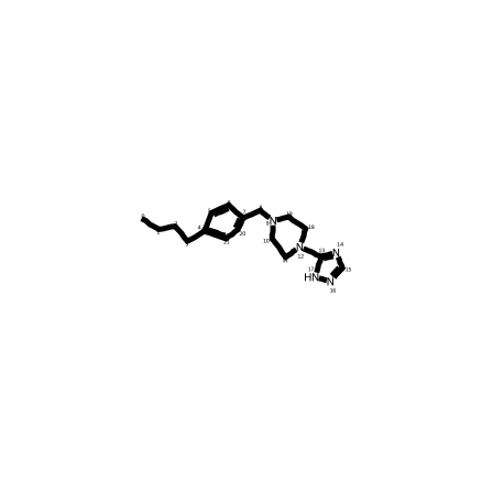 CCCCc1ccc(CN2CCN(c3ncn[nH]3)CC2)cc1